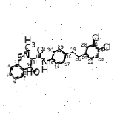 CN1Sc2ccccc2C(O)=C1C(=O)Nc1ccc(CCc2ccc(Cl)c(Cl)c2)cc1